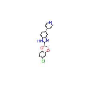 Clc1ccc2c(c1)OCC(c1nc3cc(-c4ccncc4)ccc3[nH]1)O2